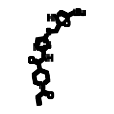 C=CC(=O)N1CCC(C(=O)Nc2ncc(SCC3NC=C(C(C)(C)C)O3)s2)CC1